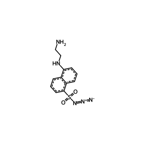 [N-]=[N+]=NS(=O)(=O)c1cccc2c(NCCN)cccc12